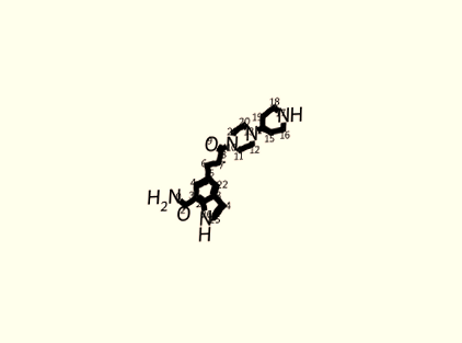 NC(=O)c1cc(C[CH]C(=O)N2CCN(C3CCNCC3)CC2)cc2cc[nH]c12